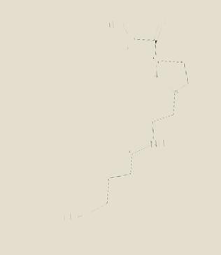 CCCCCCCCCCCCCCNCCC1CCN(C(=O)OC(C)(C)C)C1